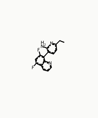 CCc1ccc(-c2c(F)cc(F)c3cccnc23)c(N)n1